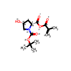 C=C(C)C(=O)OC(=O)[C@H]1C[C@@H](O)CN1C(=O)OC(C)(C)C